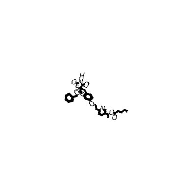 CCCCC(=O)OC(C)c1ccc(CCOc2ccc(CC3(C(=O)OCc4ccccc4)SC(=O)NC3=O)cc2)nc1